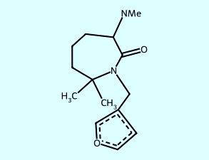 CNC1CCCC(C)(C)N(Cc2ccoc2)C1=O